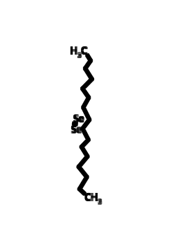 CCCCCCCCCCCCCCCC.[Se]=[Se]